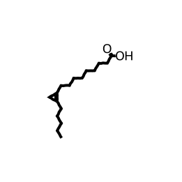 CCCCCC1=C(CCCCCCCCC(=O)O)C1